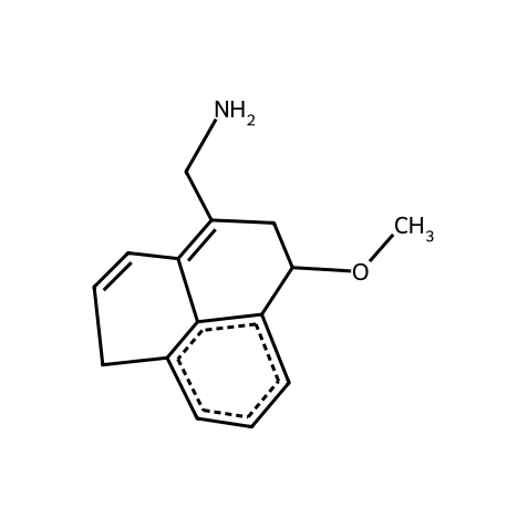 COC1CC(CN)=C2C=CCc3cccc1c32